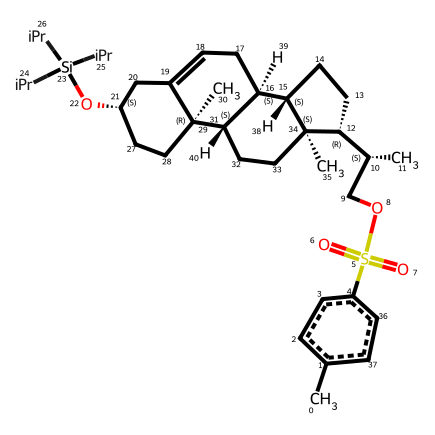 Cc1ccc(S(=O)(=O)OC[C@@H](C)[C@H]2CC[C@H]3[C@@H]4CC=C5C[C@@H](O[Si](C(C)C)(C(C)C)C(C)C)CC[C@]5(C)[C@H]4CC[C@]23C)cc1